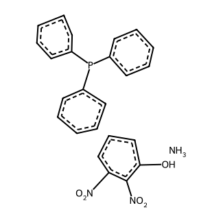 N.O=[N+]([O-])c1cccc(O)c1[N+](=O)[O-].c1ccc(P(c2ccccc2)c2ccccc2)cc1